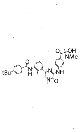 CNC(C)(O)C(=O)c1ccc(Nc2nc(-c3cccc(NC(=O)c4ccc(C(C)(C)C)cc4)c3C)cn(C)c2=O)cc1